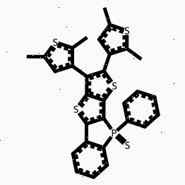 Cc1cc(-c2sc3c4c(sc3c2-c2cc(C)sc2C)-c2ccccc2P4(=S)c2ccccc2)c(C)s1